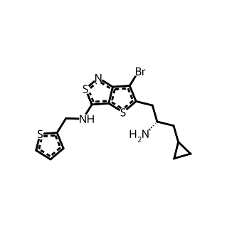 N[C@H](Cc1sc2c(NCc3cccs3)snc2c1Br)CC1CC1